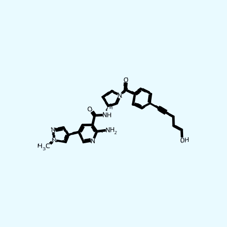 Cn1cc(-c2cnc(N)c(C(=O)N[C@@H]3CCN(C(=O)c4ccc(C#CCCCO)cc4)C3)c2)cn1